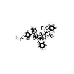 CC[C@H](C)CN(C[C@@H](O)[C@H](Cc1ccccc1)NC(=O)[C@@H]1CN(c2ccccc2C(F)(F)F)C(=O)O1)S(=O)(=O)c1ccc(C)cc1